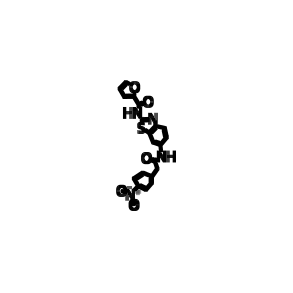 O=C(Cc1ccc([N+](=O)[O-])cc1)Nc1ccc2nc(NC(=O)c3ccco3)sc2c1